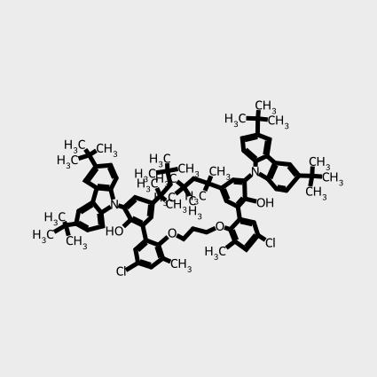 Cc1cc(Cl)cc(-c2cc(C(C)(C)CC(C)(C)C)cc(-n3c4ccc(C(C)(C)C)cc4c4cc(C(C)(C)C)ccc43)c2O)c1OCCCOc1c(C)cc(Cl)cc1-c1cc(C(C)(C)CC(C)(C)C)cc(-n2c3ccc(C(C)(C)C)cc3c3cc(C(C)(C)C)ccc32)c1O